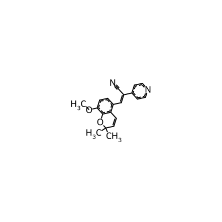 COc1ccc(C=C(C#N)c2ccncc2)c2c1OC(C)(C)C=C2